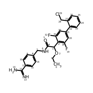 CCOC(C(=O)NCc1ccc(C(=N)N)cc1)c1c(F)cc(-c2ccccc2CCl)cc1F